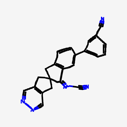 N#CN=C1c2cc(-c3cccc(C#N)c3)ccc2CC12Cc1cnncc1C2